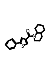 O=C(c1csc(-c2ccccc2)c1)N1CCCC2CCCCC21